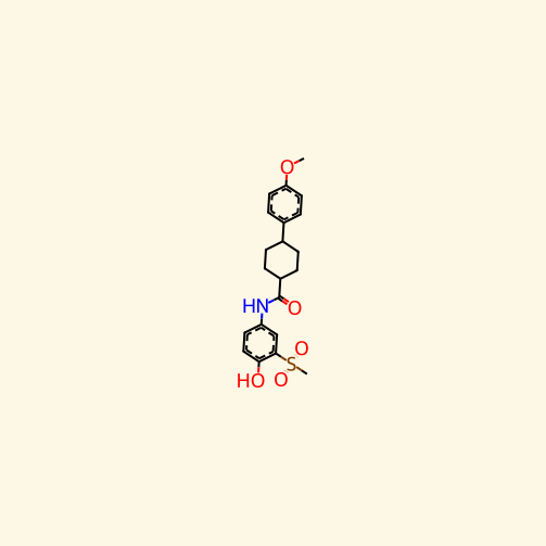 COc1ccc(C2CCC(C(=O)Nc3ccc(O)c(S(C)(=O)=O)c3)CC2)cc1